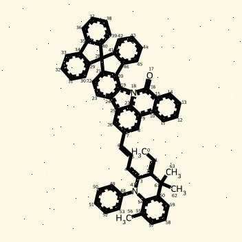 C\C=C1/C(=C\C=C\c2cc3c4ccccc4c(=O)n4c5c6c(ccc5c(c2)c34)C2(c3ccccc3-c3ccccc32)c2ccccc2-6)N(c2ccccc2)c2c(C)cccc2C1(C)C